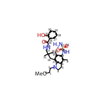 COCCN1CCc2c(C)c(NS(N)(=O)=O)c(C)c(CC(C)(C)CNC(=O)c3ccccc3O)c21